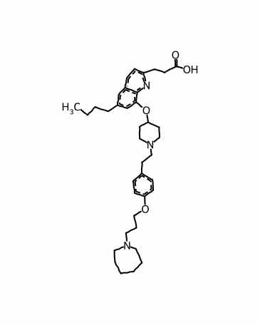 CCCCc1cc(OC2CCN(CCc3ccc(OCCCN4CCCCCC4)cc3)CC2)c2nc(CCC(=O)O)ccc2c1